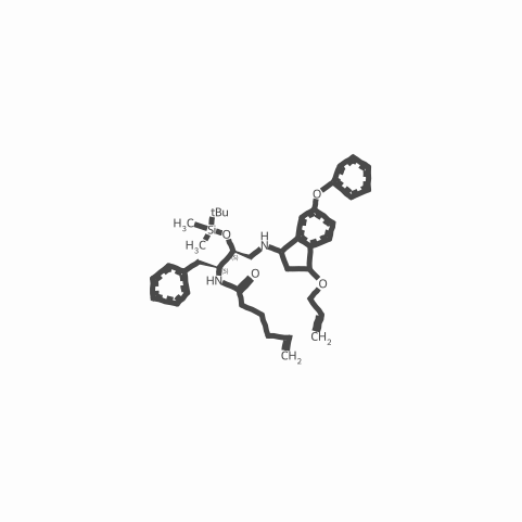 C=CCCCC(=O)N[C@@H](Cc1ccccc1)[C@H](CNC1CC(OCC=C)c2ccc(Oc3ccccc3)cc21)O[Si](C)(C)C(C)(C)C